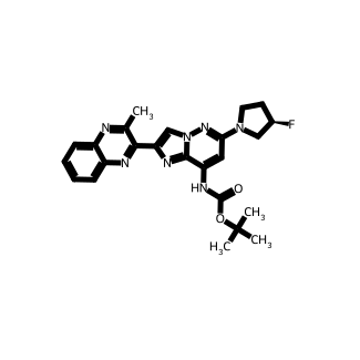 Cc1nc2ccccc2nc1-c1cn2nc(N3CC[C@@H](F)C3)cc(NC(=O)OC(C)(C)C)c2n1